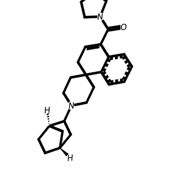 O=C(C1=CCC2(CCN(C3C[C@@H]4CC[C@@H]3C4)CC2)c2ccccc21)N1CCCC1